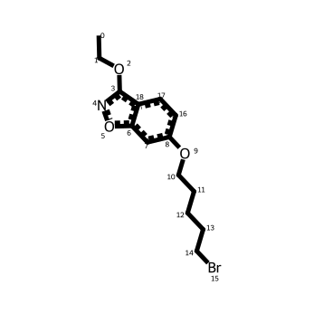 CCOc1noc2cc(OCCCCCBr)ccc12